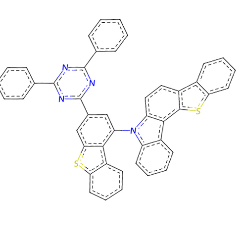 c1ccc(-c2nc(-c3ccccc3)nc(-c3cc(-n4c5ccccc5c5c6sc7ccccc7c6ccc54)c4c(c3)sc3ccccc34)n2)cc1